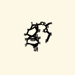 CCOC(C)OC1CC2CC1C1(CC3CCC1C3)C2